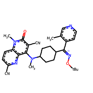 Cc1cnccc1/C(=N/OC(C)(C)C)C1CCC(N(C)c2c(C#N)c(=O)n(C)c3ccc(C#N)nc23)CC1